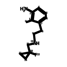 Cc1c(N)cccc1CCNCC1(F)CC1